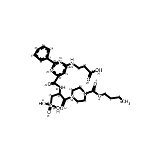 CCCCOC(=O)N1CCN(C(=O)C(CP(=O)(O)O)NC(=O)c2cc(NCCC(=O)O)nc(-c3ccccc3)n2)CC1